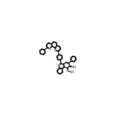 N=C1C(c2ccccc2)=Cc2c(-c3ccc(-c4ccc5ccc6ccc(-c7ccccc7)nc6c5n4)cc3)nc3ccccc3c2/C1=N/S